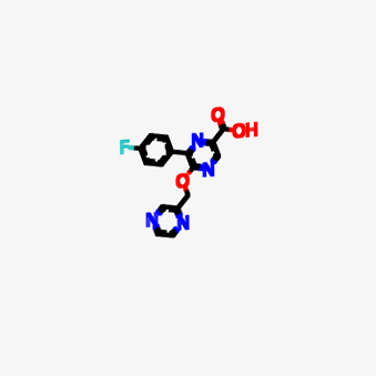 O=C(O)c1cnc(OCc2cnccn2)c(-c2ccc(F)cc2)n1